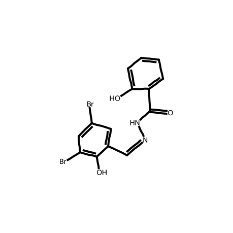 O=C(N/N=C\c1cc(Br)cc(Br)c1O)c1ccccc1O